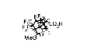 COC(=O)C1(F)C2(C(F)(F)F)C(F)(F)C(F)(C(F)(F)C2(F)CC(=O)O)C1(C(F)(F)F)C(F)(F)F